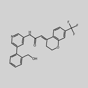 O=C(/C=C1\CCOc2cc(C(F)(F)F)ccc21)Nc1cncc(-c2ccccc2CO)c1